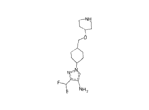 Nc1cn(C2CCC(COC3CCNCC3)CC2)nc1C(F)F